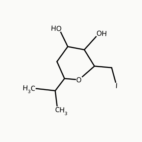 CC(C)C1CC(O)C(O)C(CI)O1